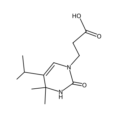 CC(C)C1=CN(CCC(=O)O)C(=O)NC1(C)C